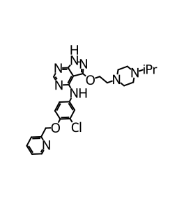 CC(C)N1CCN(CCOc2n[nH]c3ncnc(Nc4ccc(OCc5ccccn5)c(Cl)c4)c23)CC1